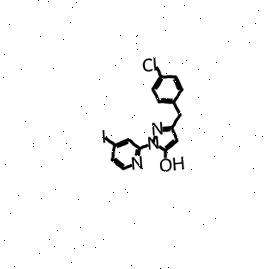 Oc1cc(Cc2ccc(Cl)cc2)nn1-c1cc(I)ccn1